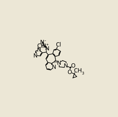 Cn1cncc1C(N=[N+]=[N-])C1=Cc2cccnc2[C@@H](N2CCN(C(=O)OC3(C)CC3)CC2)c2ccc(Cl)cc21